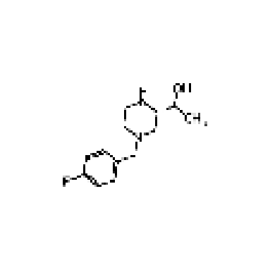 CC(O)[C@@H]1CN(Cc2ccc(F)cc2)CCN1